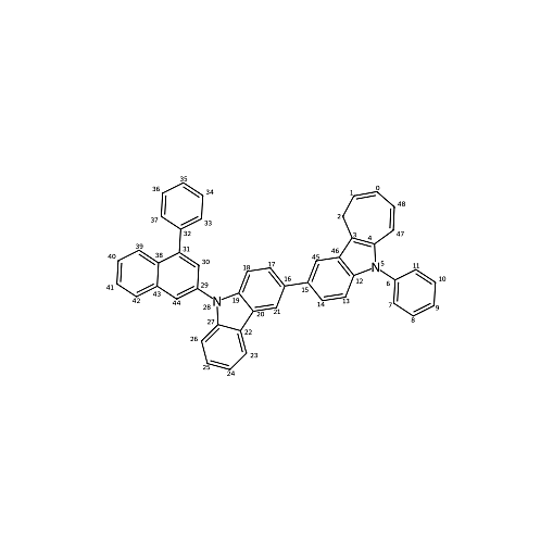 C1=CCc2c(n(-c3ccccc3)c3ccc(-c4ccc5c(c4)c4ccccc4n5-c4cc(-c5ccccc5)c5ccccc5c4)cc23)C=C1